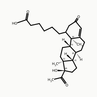 CC(=O)[C@@]1(O)CC[C@H]2[C@@H]3CCC4=CC(=O)CC(CCCCCC(=O)O)[C@]4(C)[C@H]3CC[C@@]21C